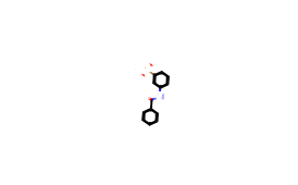 O=C(Nc1cccc(S(=O)(=O)C(F)(F)F)c1)c1ccccc1